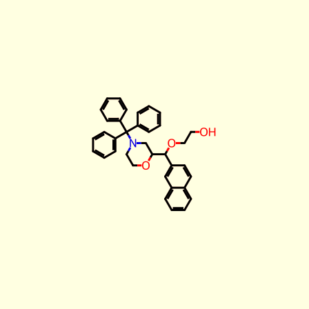 OCCOC(c1ccc2ccccc2c1)C1CN(C(c2ccccc2)(c2ccccc2)c2ccccc2)CCO1